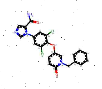 NC(=O)c1cncn1-c1cc(Cl)c(Oc2ccc(=O)n(Cc3ccccc3)c2)c(Cl)c1